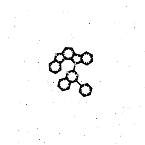 c1ccc(-c2nc(-n3c4ccccc4c4ccc5sc6ccccc6c5c43)nc3ccccc23)cc1